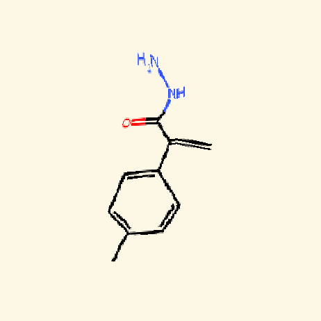 C=C(C(=O)NN)c1ccc(C)cc1